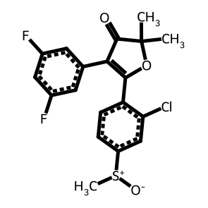 C[S+]([O-])c1ccc(C2=C(c3cc(F)cc(F)c3)C(=O)C(C)(C)O2)c(Cl)c1